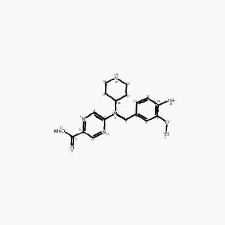 CCOc1cc(CN(c2cnc(C(=O)OC)cn2)C2CCNCC2)ccc1O